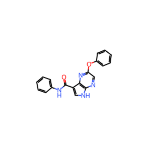 O=C(Nc1ccccc1)c1c[nH]c2ncc(Oc3ccccc3)nc12